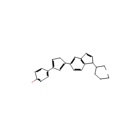 Oc1ccc(C2=CCC(c3ccc4c(c3)C=CC4C3CCCCC3)=C2)cc1